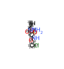 NS(=O)(=O)c1cc(NC(=O)Cc2ccccc2Cl)ccc1C(=O)NC[C@@H]1C[C@H]2CCC21